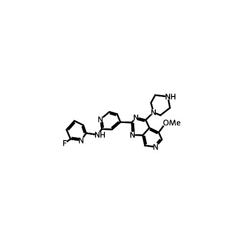 COc1cncc2nc(-c3ccnc(Nc4cccc(F)n4)c3)nc(N3CCNCC3)c12